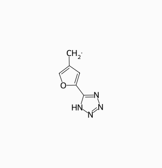 [CH2]c1coc(-c2nnn[nH]2)c1